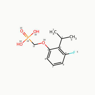 CC(C)c1c(F)cccc1OCP(=O)(O)O